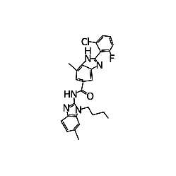 CCCCn1c(NC(=O)c2cc(C)c3[nH]c(-c4c(F)cccc4Cl)nc3c2)nc2ccc(C)cc21